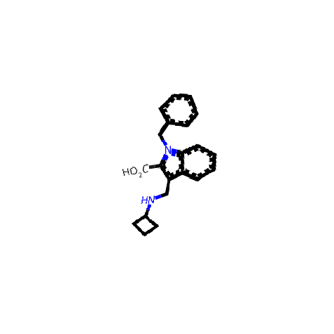 O=C(O)c1c(CNC2CCC2)c2ccccc2n1Cc1ccccc1